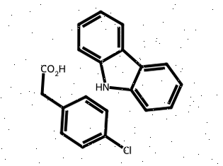 O=C(O)Cc1ccc(Cl)cc1.c1ccc2c(c1)[nH]c1ccccc12